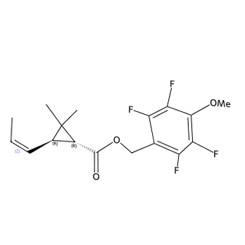 C/C=C\[C@@H]1[C@@H](C(=O)OCc2c(F)c(F)c(OC)c(F)c2F)C1(C)C